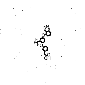 O=C(O)Cc1cccc(Oc2ccc(Oc3cccc4cnncc34)cc2C(F)(F)F)c1